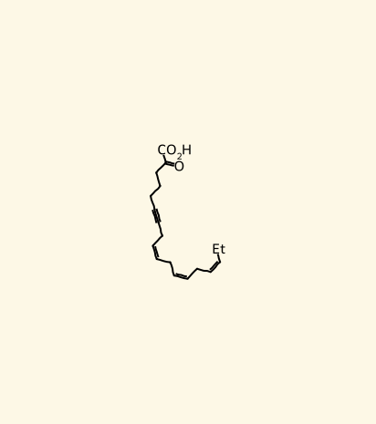 CC/C=C\C/C=C\C/C=C\CC#CCCCC(=O)C(=O)O